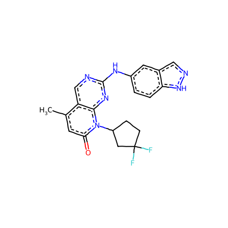 Cc1cc(=O)n(C2CCC(F)(F)C2)c2nc(Nc3ccc4[nH]ncc4c3)ncc12